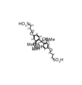 COc1cc(OCCCS(=O)(=O)O)ccc1C(C)(C)c1ccc(OCCCS(=O)(=O)O)cc1OC.[NaH].[NaH]